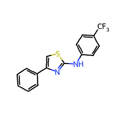 FC(F)(F)c1ccc(Nc2nc(-c3ccccc3)cs2)cc1